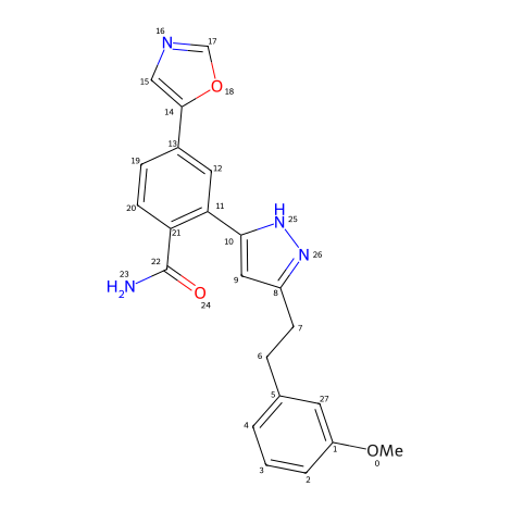 COc1cccc(CCc2cc(-c3cc(-c4cnco4)ccc3C(N)=O)[nH]n2)c1